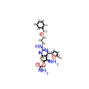 Cc1ccc(-c2nc(NCCCOCc3ccccc3)nc3sc(OC(N)=O)c(N)c23)o1